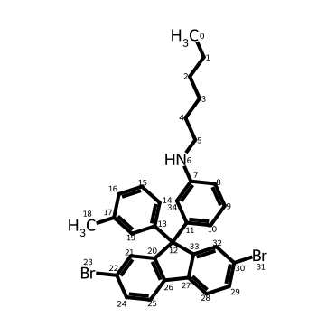 CCCCCCNc1cccc(C2(c3cccc(C)c3)c3cc(Br)ccc3-c3ccc(Br)cc32)c1